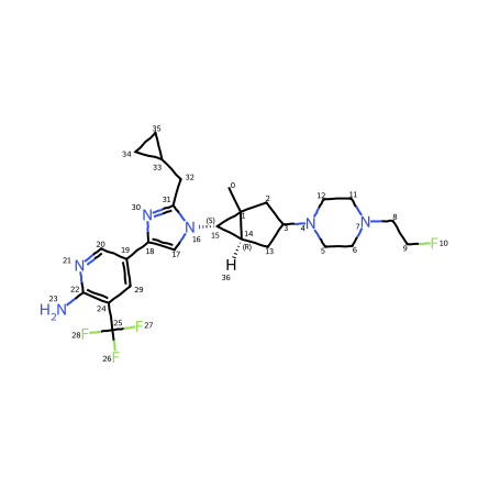 CC12CC(N3CCN(CCF)CC3)C[C@H]1[C@@H]2n1cc(-c2cnc(N)c(C(F)(F)F)c2)nc1CC1CC1